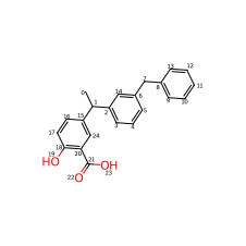 CC(c1cccc(Cc2ccccc2)c1)c1ccc(O)c(C(=O)O)c1